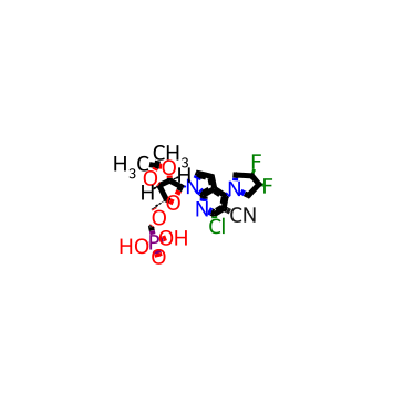 CC1(C)O[C@@H]2[C@H](O1)[C@@H](COCP(=O)(O)O)O[C@H]2n1ccc2c(N3C[C@@H](F)[C@@H](F)C3)c(C#N)c(Cl)nc21